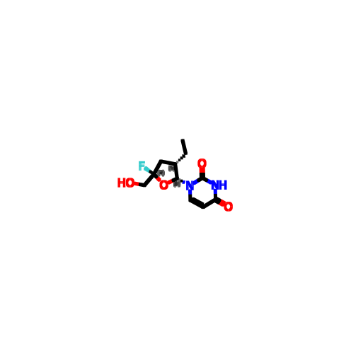 CC[C@H]1C[C@@](F)(CO)O[C@H]1n1ccc(=O)[nH]c1=O